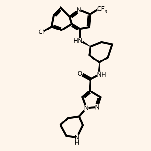 O=C(N[C@@H]1CCC[C@H](Nc2cc(C(F)(F)F)nc3ccc(Cl)cc23)C1)c1cnn(C2CCCNC2)c1